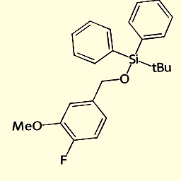 COc1cc(CO[Si](c2ccccc2)(c2ccccc2)C(C)(C)C)ccc1F